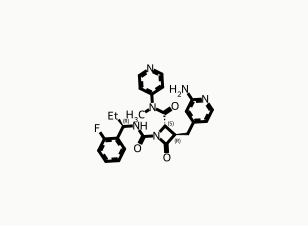 CC[C@@H](NC(=O)N1C(=O)[C@H](Cc2ccnc(N)c2)[C@H]1C(=O)N(C)c1ccncc1)c1ccccc1F